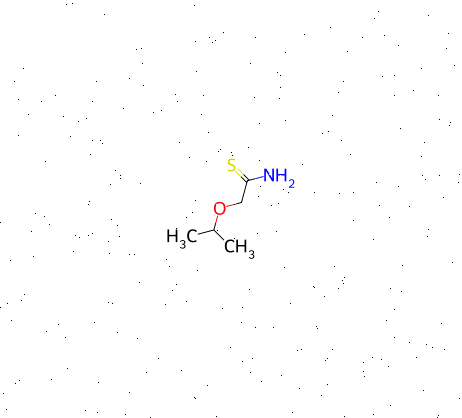 CC(C)OCC(N)=S